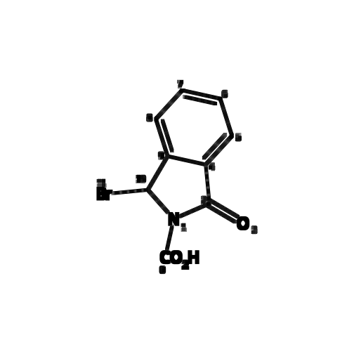 O=C(O)N1C(=O)c2ccccc2C1Br